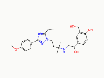 CCc1nc(-c2ccc(OC)cc2)nn1CCC(C)(C)NCC(O)c1ccc(O)c(CO)c1